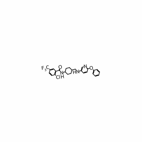 O=C(NC1CCC(CNc2ccc(Oc3ccccc3)nc2)CC1)c1cc(C(F)(F)F)ccc1Cl